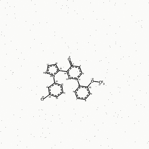 O=c1ccn(-c2ccccc2OC(F)(F)F)nc1-c1ccnn1-c1cccc(Cl)c1